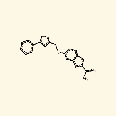 N=C(N)c1cc2ccc(OCc3cc(-c4ccccc4)cs3)cc2s1